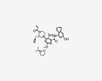 C=CC(=O)N1CCN(c2nc(OC[C@@H]3CCCN3C(C)C)nc(C(=O)Nc3cc(O)cc4ccccc34)c2N(C)C)C[C@@H]1CC#N